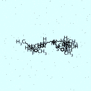 CCCCCCNC(=O)Nc1cc(-c2cc3cnc(NCCCCc4cn(CCCCCC(=O)NC(C(=O)N5C[C@H](O)C[C@H]5C(=O)N[C@@H](C)c5ccc(-c6scnc6C)cc5)C(C)(C)C)nn4)nc3nc2C)c(C)cc1F